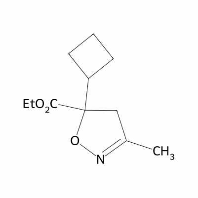 CCOC(=O)C1(C2CCC2)CC(C)=NO1